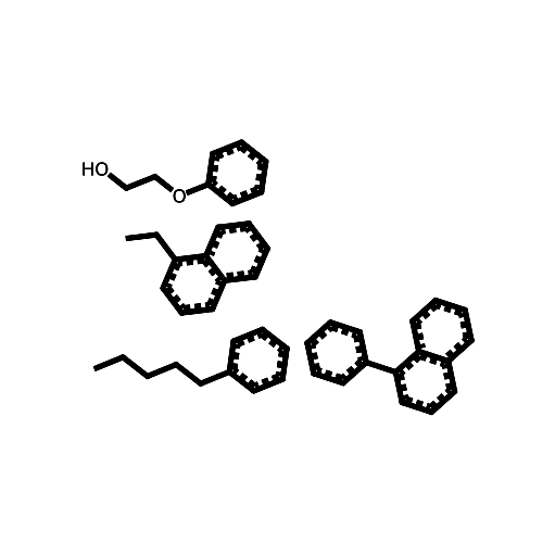 CCCCCc1ccccc1.CCc1cccc2ccccc12.OCCOc1ccccc1.c1ccc(-c2cccc3ccccc23)cc1